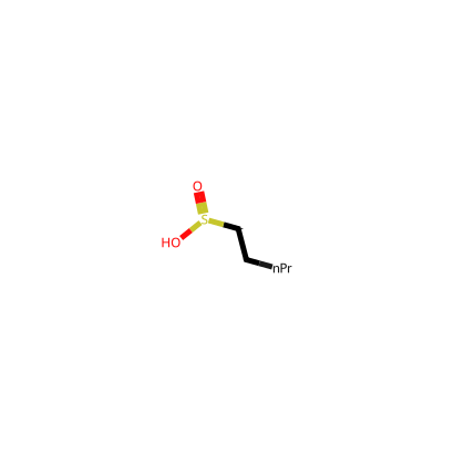 CCCC[CH]S(=O)O